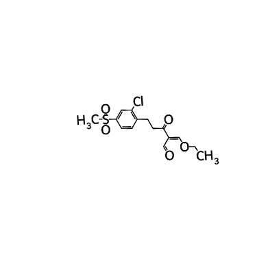 CCOC=C(C=O)C(=O)CCc1ccc(S(C)(=O)=O)cc1Cl